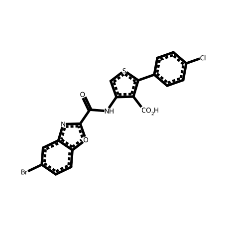 O=C(Nc1csc(-c2ccc(Cl)cc2)c1C(=O)O)c1nc2cc(Br)ccc2o1